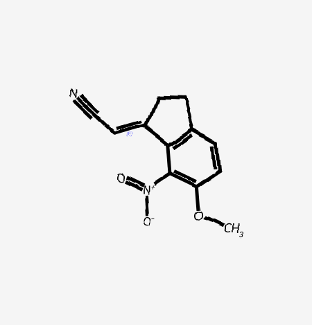 COc1ccc2c(c1[N+](=O)[O-])/C(=C/C#N)CC2